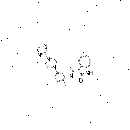 C/C(=N\c1cc(N2CCN(c3cnccn3)CC2)ccc1C)c1c2cccccc-2[nH]c1=O